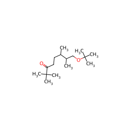 CC(CCC(=O)C(C)(C)C)C(C)COC(C)(C)C